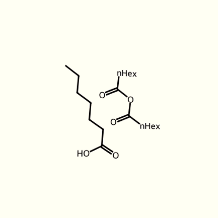 CCCCCCC(=O)O.CCCCCCC(=O)OC(=O)CCCCCC